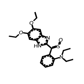 CCOc1cc2nc(C(=S=O)c3ccccc3N(CC)CC)[nH]c2cc1OCC